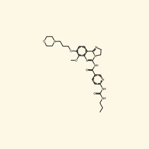 CCCNC(=O)Nc1ccc(C(=O)NC2=Nc3c(ccc(OCCCN4CCOCC4)c3OC)C3=NCCN23)cn1